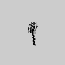 CCCCCCCCNNC(=O)NNC(N)=O